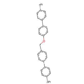 CCCc1ccc(-c2ccc(COc3ccc(-c4ccc(CCC)cc4)cc3)cc2)cc1